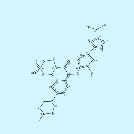 CN1CCC(c2ccc(N(Cc3ccc(-c4nnc(C(F)F)o4)cc3F)C(=O)N3CCS(=O)(=O)CC3)cc2)CC1